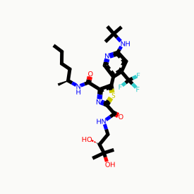 CCCC[C@H](C)NC(=O)c1nc(C(=O)NC[C@@H](O)C(C)(C)O)sc1-c1cnc(NC(C)(C)C)cc1C(F)(F)F